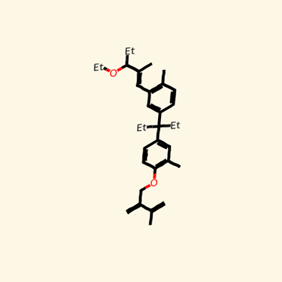 C=C(C)C(=C)COc1ccc(C(CC)(CC)c2ccc(C)c(/C=C(\C)C(CC)OCC)c2)cc1C